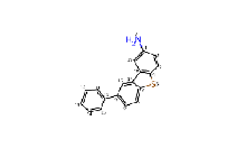 Nc1ccc2sc3ccc(-c4ccccc4)cc3c2c1